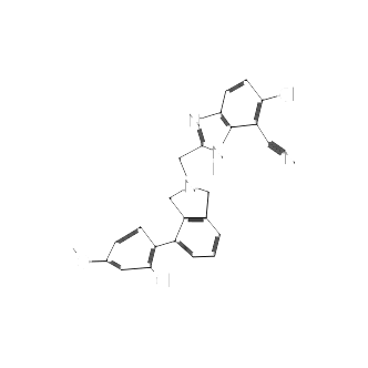 COc1ccc(-c2cccc3c2CN(Cc2nc4ccc(Cl)c(C#N)c4[nH]2)C3)c(Cl)c1